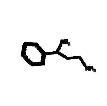 NCC[C](N)c1ccccc1